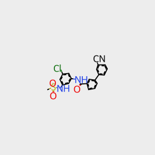 CS(=O)(=O)Nc1cc(Cl)cc(NC(=O)c2cccc(-c3cccc(C#N)c3)c2)c1